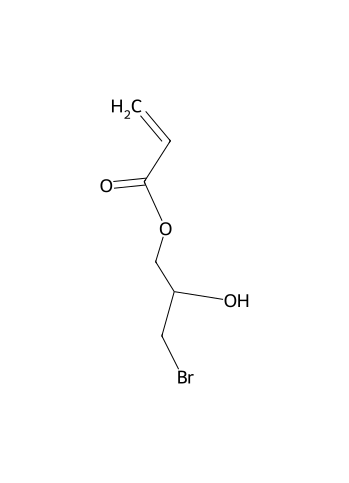 C=CC(=O)OCC(O)CBr